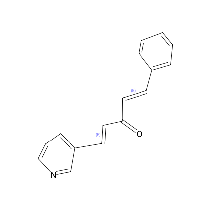 O=C(/C=C/c1ccccc1)/C=C/c1cccnc1